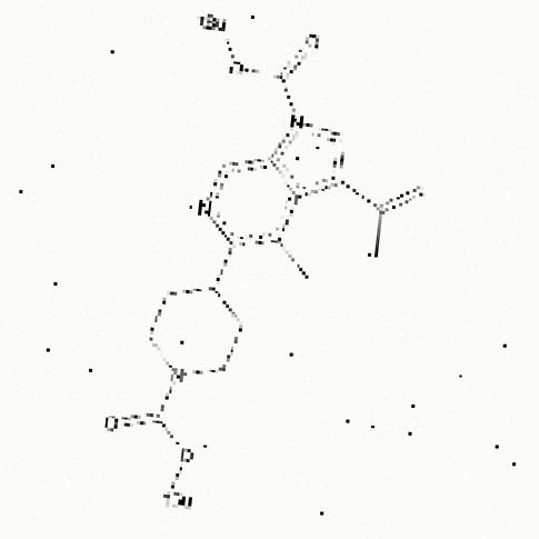 C=C(C)c1cn(C(=O)OC(C)(C)C)c2cnc(C3CCN(C(=O)OC(C)(C)C)CC3)c(C)c12